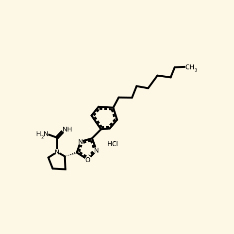 CCCCCCCCc1ccc(-c2noc([C@@H]3CCCN3C(=N)N)n2)cc1.Cl